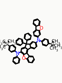 C[Si](C)(C)c1ccc(N(c2ccc3c(c2)C(c2ccccc2)(c2ccccc2)c2cc(N(c4ccccc4)c4ccc([Si](C)(C)C)cc4)c4oc5ccccc5c4c2-3)c2ccc3c(c2)oc2ccccc23)cc1